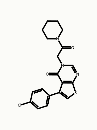 O=C(Cn1cnc2scc(-c3ccc(Cl)cc3)c2c1=O)N1CCCCC1